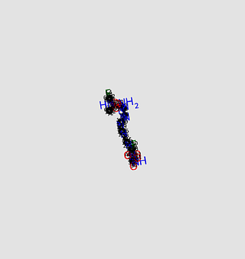 Nc1ncc(-c2cnn(C3CCN(CC4CCN(CCC5CCN(c6cc7c(cc6F)C(=O)N(C6CCC(=O)NC6=O)C7=O)CC5)CC4)CC3)c2)nc1C(=O)O[C@@H](C(=O)Nc1ccc(F)cc1)c1ccccc1